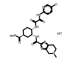 CNC(=O)[C@H]1CC[C@H](NC(=O)C(=O)Nc2ccc(Cl)cn2)[C@H](NC(=O)c2nc3c(s2)CN(C)CC3)C1.Cl